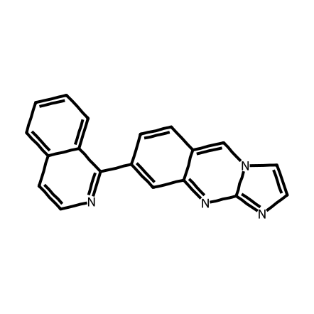 c1ccc2c(-c3ccc4cn5ccnc5nc4c3)nccc2c1